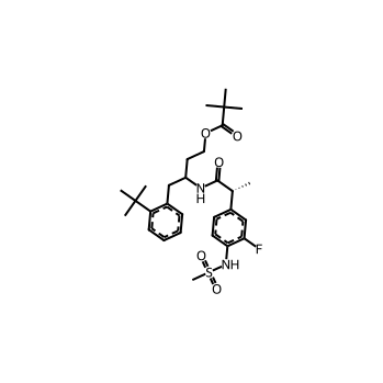 C[C@@H](C(=O)NC(CCOC(=O)C(C)(C)C)Cc1ccccc1C(C)(C)C)c1ccc(NS(C)(=O)=O)c(F)c1